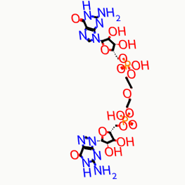 Nc1nc2c(ncn2[C@@H]2O[C@H](COP(=O)(O)OCCOCCOP(=O)(O)OC[C@@H]3O[C@H](n4cnc5c(=O)[nH]c(N)nc54)C(O)[C@@H]3O)C(O)[C@@H]2O)c(=O)[nH]1